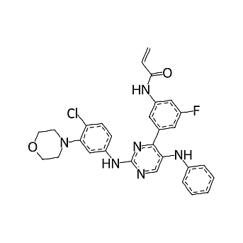 C=CC(=O)Nc1cc(F)cc(-c2nc(Nc3ccc(Cl)c(N4CCOCC4)c3)ncc2Nc2ccccc2)c1